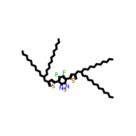 CCCCCCCCCCCCC(CCCCCCCCCC)Cc1csc(-c2c(F)c(F)c(-c3cc(CC(CCCCCCCCCC)CCCCCCCCCCCC)cs3)c3nsnc23)c1